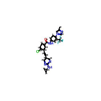 Cc1cn(-c2ccc(NC(=O)c3ccc(Cl)c(C#Cc4cnc(NC5CC5)nc4)c3)cc2C(F)(F)F)cn1